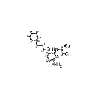 CCCCC(CO)Nc1nc(N)ncc1OCCCc1ccccc1